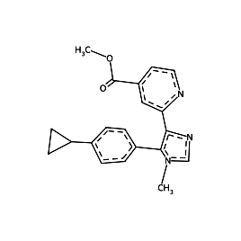 COC(=O)c1ccnc(-c2ncn(C)c2-c2ccc(C3CC3)cc2)c1